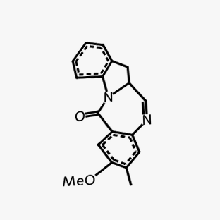 COc1cc2c(cc1C)N=CC1Cc3ccccc3N1C2=O